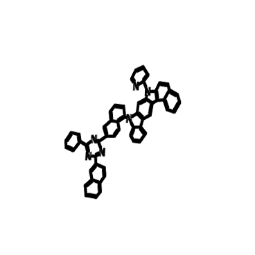 c1ccc(-c2nc(-c3ccc4ccccc4c3)nc(-c3ccc4c(-n5c6ccccc6c6cc7c8c9ccccc9ccc8n(-c8ccccn8)c7cc65)cccc4c3)n2)cc1